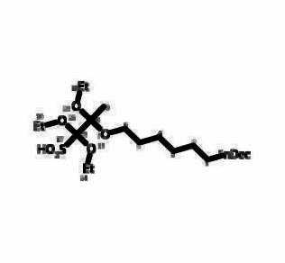 CCCCCCCCCCCCCCCCOC(C)(OCC)C(OCC)(OCC)S(=O)(=O)O